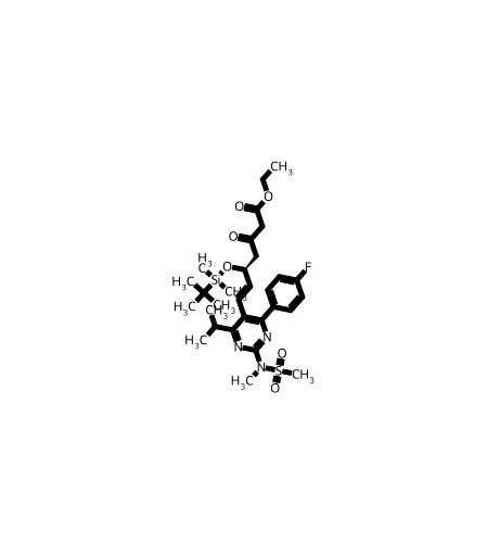 CCOC(=O)CC(=O)C[C@@H](/C=C/c1c(-c2ccc(F)cc2)nc(N(C)S(C)(=O)=O)nc1C(C)C)O[Si](C)(C)C(C)(C)C